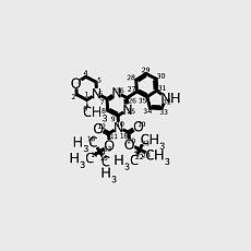 C[C@@H]1COCCN1c1cc(N(C(=O)OC(C)(C)C)C(=O)OC(C)(C)C)nc(-c2cccc3[nH]ccc23)n1